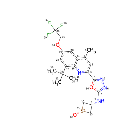 Cc1cc(-c2nnc(N[C@H]3C[S@@+]([O-])C3)o2)nc2c(C(C)(C)C)cc(OCC(F)(F)F)cc12